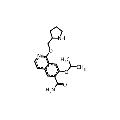 CC(C)Oc1cc2c(OCC3CCCN3)nccc2cc1C(N)=O